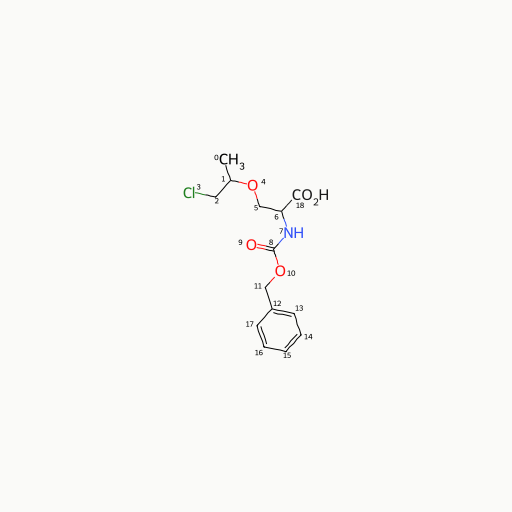 CC(CCl)OCC(NC(=O)OCc1ccccc1)C(=O)O